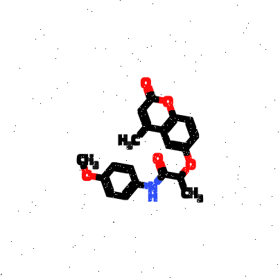 COc1ccc(NC(=O)C(C)Oc2ccc3oc(=O)cc(C)c3c2)cc1